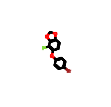 Fc1c(Oc2ccc(Br)cc2)ccc2c1OCO2